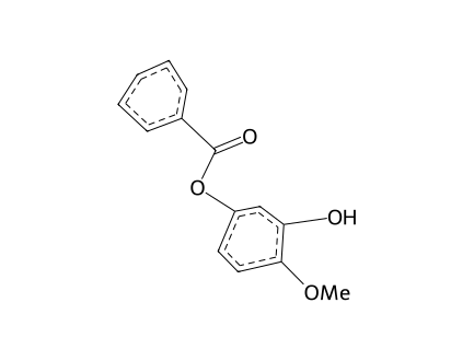 COc1ccc(OC(=O)c2ccccc2)cc1O